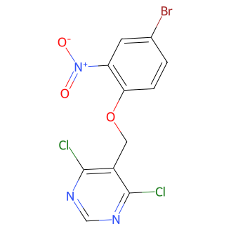 O=[N+]([O-])c1cc(Br)ccc1OCc1c(Cl)ncnc1Cl